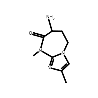 Cc1cn2c(n1)N(C)C(=O)C(N)CC2